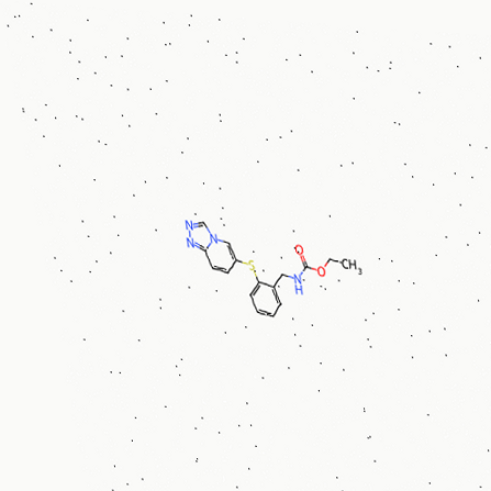 CCOC(=O)NCc1ccccc1Sc1ccc2nncn2c1